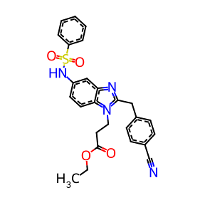 CCOC(=O)CCn1c(Cc2ccc(C#N)cc2)nc2cc(NS(=O)(=O)c3ccccc3)ccc21